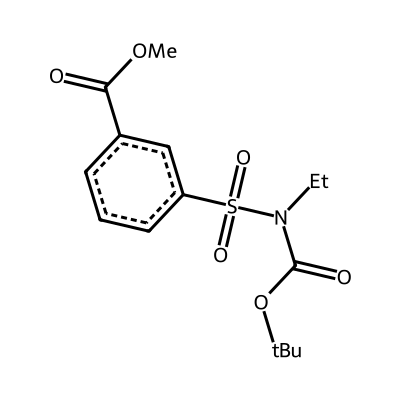 CCN(C(=O)OC(C)(C)C)S(=O)(=O)c1cccc(C(=O)OC)c1